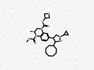 COC(=O)N1c2ccc(C3CN(C4CC4)NC3C3CCCCCCC3)cc2N(C(=O)OC2COC2)C[C@@H]1C